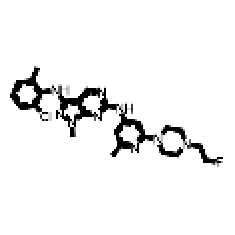 Cc1cc(Nc2ncc3c(Nc4c(C)cccc4Cl)nn(C)c3n2)cc(N2CCN(CCF)CC2)n1